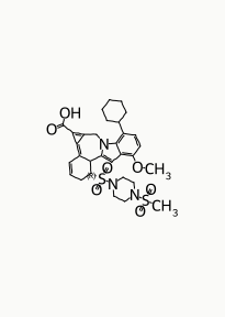 COc1ccc(C2CCCCC2)c2c1cc1n2CC2=C(C(=O)O)C2=C2C=CC[C@@H](S(=O)(=O)N3CCN(S(C)(=O)=O)CC3)C21